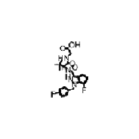 CC(C)(C)[C@H](NC(=O)c1nn(Cc2ccc(F)cc2)c2c(F)cccc12)C(=O)NCC(=O)O